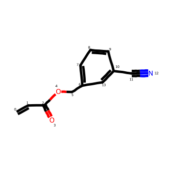 C=CC(=O)OCc1cccc(C#N)c1